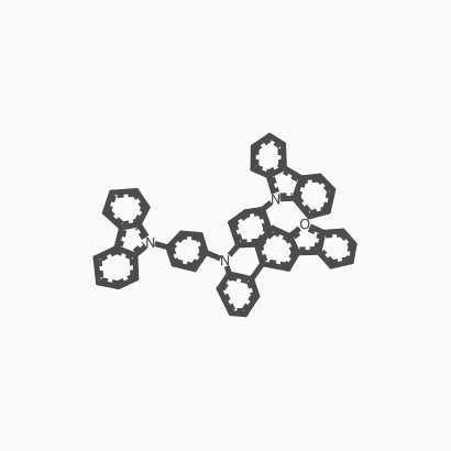 c1ccc(N(c2ccc(-n3c4ccccc4c4ccccc43)cc2)c2ccc(-n3c4ccccc4c4ccccc43)cc2)c(-c2ccc3oc4ccccc4c3c2)c1